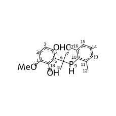 COc1cccc(C(C)(C)Pc2c(C)cccc2C=O)c1O